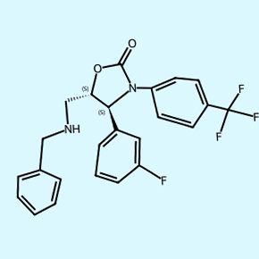 O=C1O[C@@H](CNCc2ccccc2)[C@H](c2cccc(F)c2)N1c1ccc(C(F)(F)F)cc1